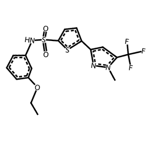 CCOc1cccc(NS(=O)(=O)c2ccc(-c3cc(C(F)(F)F)n(C)n3)s2)c1